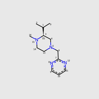 CC(C)[C@H]1CN(Cc2ncccn2)CCN1C